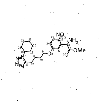 COC(=O)C(N)c1cc(OCCCCc2nnnn2C2CCCCC2)ccc1[N+](=O)[O-]